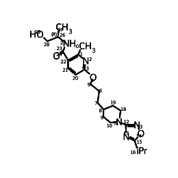 Cc1nc(OCCCC2CCN(c3noc(C(C)C)n3)CC2)ccc1C(=O)N[C@H](C)CO